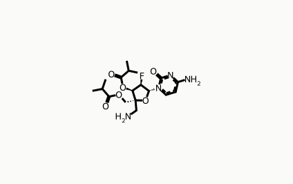 CC(C)C(=O)OC[C@@]1(CN)O[C@@H](n2ccc(N)nc2=O)[C@H](F)[C@@H]1OC(=O)C(C)C